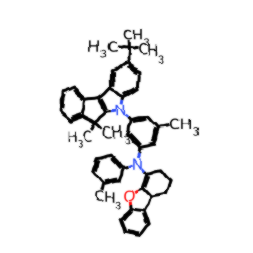 Cc1cccc(N(C2=C3Oc4ccccc4C3CCC2)c2cc(C)cc(-n3c4c(c5cc(C(C)(C)C)ccc53)-c3ccccc3C4(C)C)c2)c1